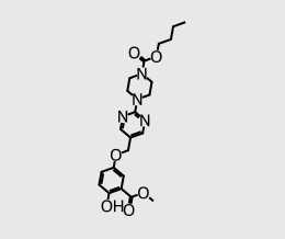 CCCCOC(=O)N1CCN(c2ncc(COc3ccc(O)c(C(=O)OC)c3)cn2)CC1